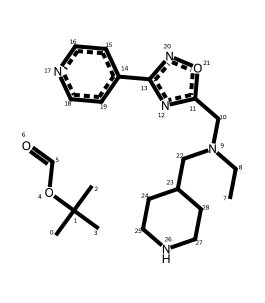 CC(C)(C)OC=O.CCN(Cc1nc(-c2ccncc2)no1)CC1CCNCC1